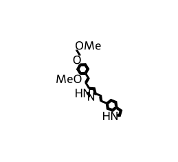 COCCOc1ccc(C=Cc2cc(C=Cc3ccc4cc[nH]c4c3)n[nH]2)c(OC)c1